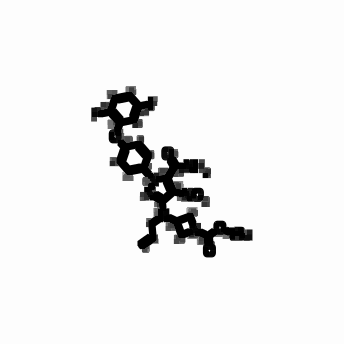 C=CCN(c1nn(-c2ccc(Oc3cc(F)ccc3F)cc2)c(C(N)=O)c1[N+](=O)[O-])C1CN(C(=O)OC(C)(C)C)C1